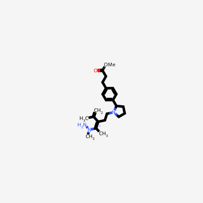 C=C(C)/C(CCN1CCCC1c1ccc(CCC(=O)OC)cc1)=C(/C)N(C)N